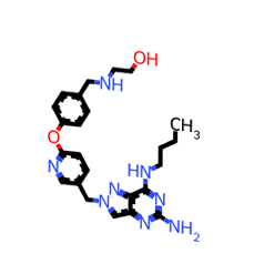 CCCCNc1nc(N)nc2cn(Cc3ccc(Oc4ccc(CNCCO)cc4)nc3)nc12